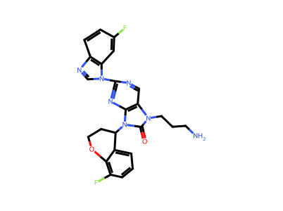 NCCCn1c(=O)n(C2CCOc3c(F)cccc32)c2nc(-n3cnc4ccc(F)cc43)ncc21